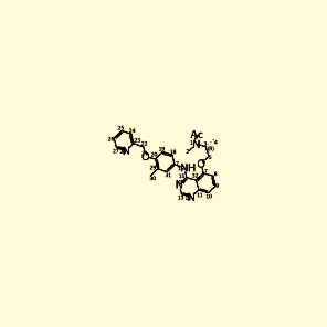 CC(=O)N(C)[C@H](C)COc1cccc2ncnc(Nc3ccc(OCc4ccccn4)c(C)c3)c12